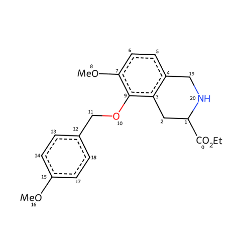 CCOC(=O)C1Cc2c(ccc(OC)c2OCc2ccc(OC)cc2)CN1